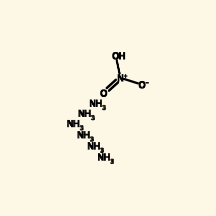 N.N.N.N.N.N.O=[N+]([O-])O